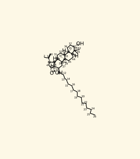 C=C(C)[C@@H]1CC[C@]2(C(=O)O)C(CCCCCCCCCCCCCCCC)C[C@]3(C)[C@H](CC[C@@H]4[C@@]5(C)CC[C@H](O)C(C)(C)[C@@H]5CC[C@]43C)[C@@H]12